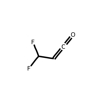 O=C=CC(F)F